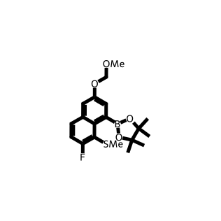 COCOc1cc(B2OC(C)(C)C(C)(C)O2)c2c(SC)c(F)ccc2c1